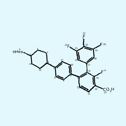 CCCCCCC1CCC(c2ccc(-c3ccc(C(=O)O)c(F)c3-c3cc(F)c(F)c(F)c3)cc2)CC1